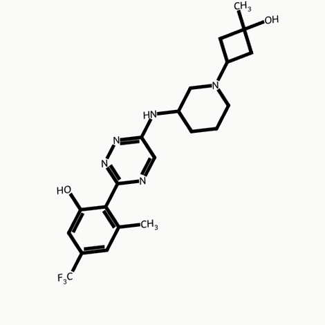 Cc1cc(C(F)(F)F)cc(O)c1-c1ncc(NC2CCCN(C3CC(C)(O)C3)C2)nn1